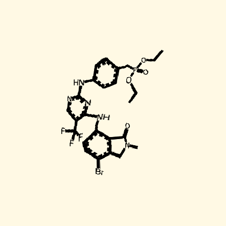 CCOP(=O)(Cc1ccc(Nc2ncc(C(F)(F)F)c(Nc3ccc(Br)c4c3C(=O)N(C)C4)n2)cc1)OCC